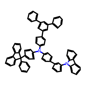 c1ccc(-c2cc(-c3ccccc3)cc(-c3ccc(N(c4ccc(-c5cccc(-n6c7ccccc7c7ccccc76)c5)cc4)c4ccc(C5(c6ccccc6)c6ccccc6-c6ccccc65)cc4)cc3)c2)cc1